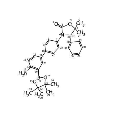 CC1(C)OC(=O)N(c2ccc(-c3cnc(N)c(B4OC(C)(C)C(C)(C)O4)c3)cc2)[C@H]1c1ccccc1